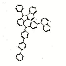 c1ccc(-c2ccc(-c3ccc(N(c4ccc(-c5cccc6ccccc56)cc4)c4cccc5c4c4ccc6ccccc6c4n5-c4ccccc4)cc3)cc2)cc1